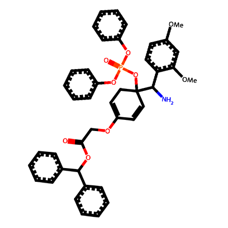 COc1ccc(C(N)C2(OP(=O)(Oc3ccccc3)Oc3ccccc3)C=CC(OCC(=O)OC(c3ccccc3)c3ccccc3)=CC2)c(OC)c1